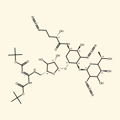 C[C@@H](O)C1O[C@H](O[C@@H]2C(N=[N+]=[N-])[C@H](O)[C@H](NC(=O)[C@@H](O)CCN=[N+]=[N-])C[C@H]2O[C@@H]2O[C@H](CN/C(=N\C(=O)OC(C)(C)C)NC(=O)OC(C)(C)C)C(O)[C@@H]2O)C(N=[N+]=[N-])C(O)[C@@H]1O